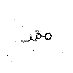 Cl.NCC(=O)Nc1nc(-c2ccccc2)cs1